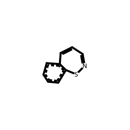 C1=Cc2ccccc2SN=C1